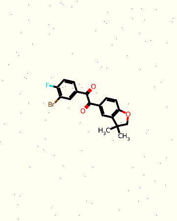 CC1(C)COc2ccc(C(=O)C(=O)c3ccc(F)c(Br)c3)cc21